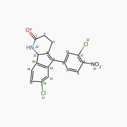 O=C1CCC2=C(c3ccc([N+](=O)[O-])c(Cl)c3)c3cc(Cl)ccc3C2N1